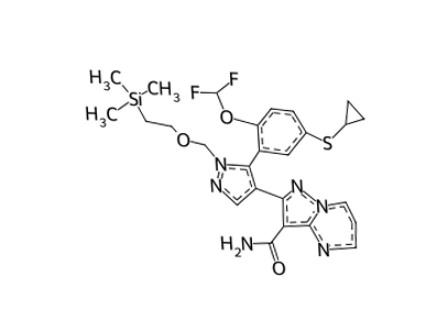 C[Si](C)(C)CCOCn1ncc(-c2nn3cccnc3c2C(N)=O)c1-c1cc(SC2CC2)ccc1OC(F)F